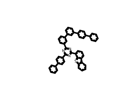 c1ccc(-c2ccc(-c3cccc(-c4cccc(-c5nc(-c6ccc(-c7ccccc7)cc6)nc(-c6cccc7c6sc6ccccc67)n5)c4)c3)cc2)cc1